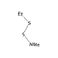 CCSSNC